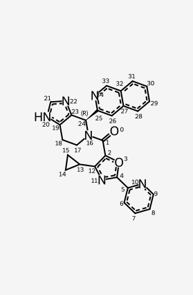 O=C(c1oc(-c2ccccn2)nc1C1CC1)N1CCc2[nH]cnc2[C@H]1c1cc2ccccc2cn1